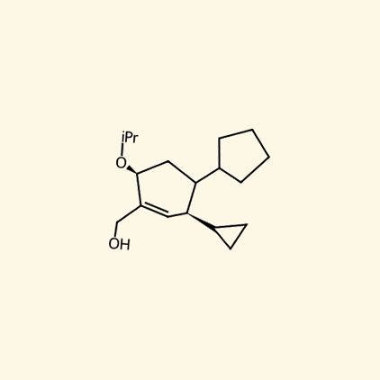 CC(C)O[C@H]1CC(C2CCCC2)[C@@H](C2CC2)C=C1CO